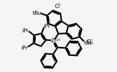 CC(C)C1=C(C(C)C)C(C(C)C)=[C]([Zr+2](=[C](c2ccccc2)c2ccccc2)[CH]2c3cc(C(C)(C)C)ccc3-c3ccc(C(C)(C)C)cc32)C1.[Cl-].[Cl-]